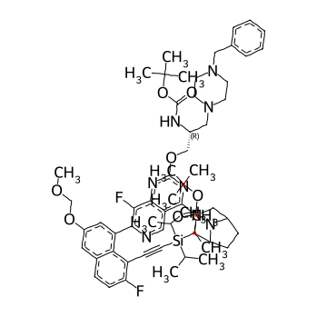 COCOc1cc(-c2ncc3c(N4CC5CCC(C4)N5C(=O)OC(C)(C)C)nc(OC[C@@H](CN4CCN(Cc5ccccc5)CC4)NC(=O)OC(C)(C)C)nc3c2F)c2c(C#C[Si](C(C)C)(C(C)C)C(C)C)c(F)ccc2c1